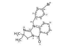 CC1(C)CN2C(=O)c3ccccc3N(Cc3ccc(Br)cc3)C2=N1